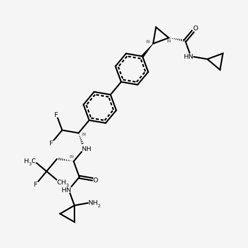 CC(C)(F)C[C@H](N[C@@H](c1ccc(-c2ccc([C@H]3C[C@@H]3C(=O)NC3CC3)cc2)cc1)C(F)F)C(=O)NC1(N)CC1